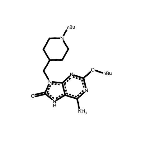 CCCCOc1nc(N)c2[nH]c(=O)n(CC3CCN(CCCC)CC3)c2n1